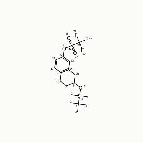 CC(C)(C)[Si](C)(C)OC1CCc2ccc(OS(=O)(=O)C(F)(F)F)cc2C1